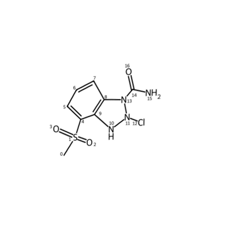 CS(=O)(=O)c1cccc2c1NN(Cl)N2C(N)=O